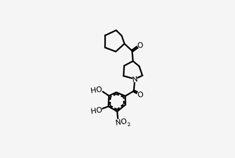 O=C(C1CCCCC1)C1CCN(C(=O)c2cc(O)c(O)c([N+](=O)[O-])c2)CC1